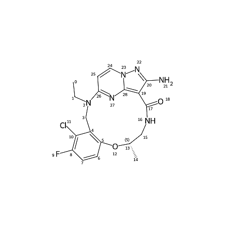 CCN1Cc2c(ccc(F)c2Cl)O[C@@H](C)CNC(=O)c2c(N)nn3ccc1nc23